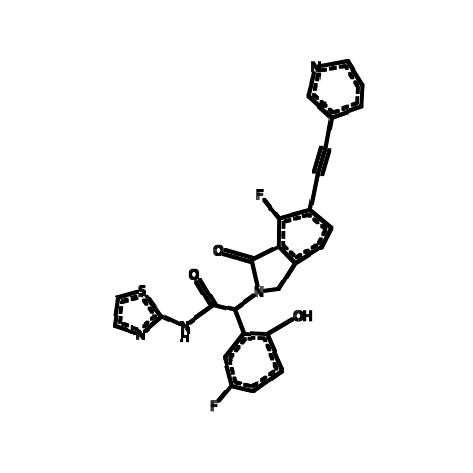 O=C(Nc1nccs1)C(c1cc(F)ccc1O)N1Cc2ccc(C#Cc3cccnc3)c(F)c2C1=O